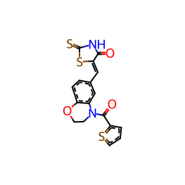 O=C1NC(=S)S/C1=C\c1ccc2c(c1)N(C(=O)c1cccs1)CCO2